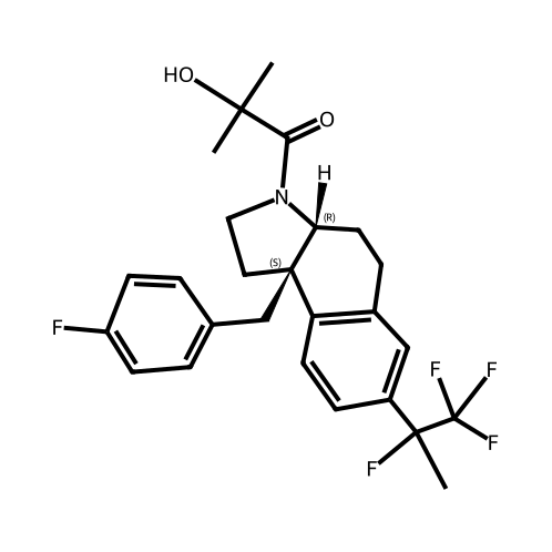 CC(C)(O)C(=O)N1CC[C@@]2(Cc3ccc(F)cc3)c3ccc(C(C)(F)C(F)(F)F)cc3CC[C@@H]12